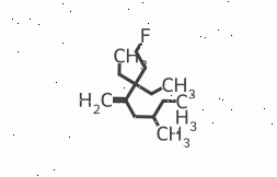 C=C(CC(C)CC)C(CC)(CC)CCF